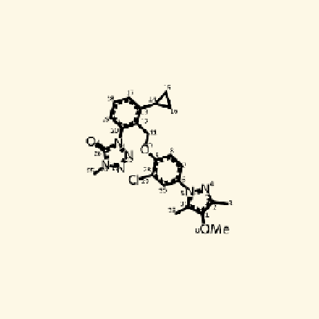 COc1c(C)nn(-c2ccc(OCc3c(C4CC4)cccc3-n3nnn(C)c3=O)c(Cl)c2)c1C